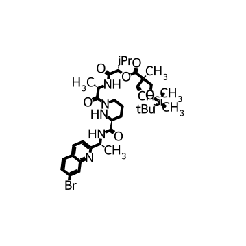 C=C[C@](C)(CO[Si](C)(C)C(C)(C)C)C(=O)O[C@H](C(=O)N[C@@H](C)C(=O)N1CCC[C@@H](C(=O)N[C@H](C)c2ccc3ccc(Br)cc3n2)N1)C(C)C